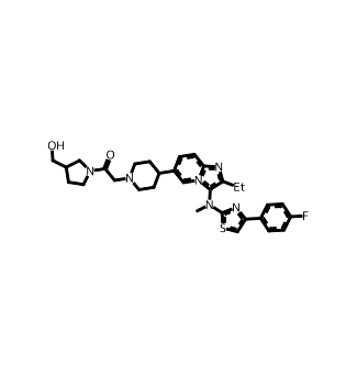 CCc1nc2ccc(C3CCN(CC(=O)N4CCC(CO)C4)CC3)cn2c1N(C)c1nc(-c2ccc(F)cc2)cs1